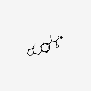 O=C1CCCC1Cc1ccc(C(I)C(=O)O)cc1